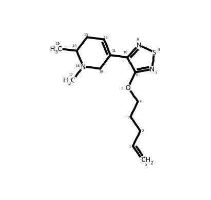 C=CCCCOc1nsnc1C1=CCC(C)N(C)C1